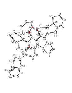 c1ccc(N(c2ccc(-c3ccc4ccccc4c3)cc2)c2ccccc2-c2cccc3cccc(C4CCCCC4)c23)c(-c2cccc3c2oc2ccccc23)c1